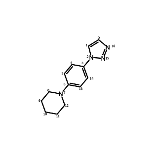 c1cn(-c2ccc(N3CCCCC3)cc2)nn1